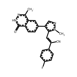 [CH2]c1n[nH]c(=O)c2ccc(-c3cnn(C)c3C=C(C#N)c3ccc(F)cc3)cc12